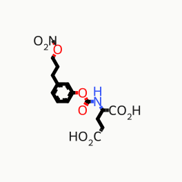 O=C(O)CCC(NC(=O)Oc1cccc(CCCO[N+](=O)[O-])c1)C(=O)O